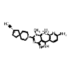 C#C[C@H]1CCC2(CCN(c3nc4n[nH]c(-c5ccc(N)nc5C)c4c(=O)n3C)CC2)C1